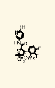 COc1c([C@@H]2C[C@](C)(C(F)(F)F)S[C@H]2C(=O)Nc2ccc(S)nc2)ccc(F)c1F